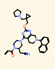 C=CC(=O)N1CCN(c2nc(OCC3(CN4CCCC4)CC3)nc3c2CCN(c2cccc4ccccc24)C3)CC1CC#N